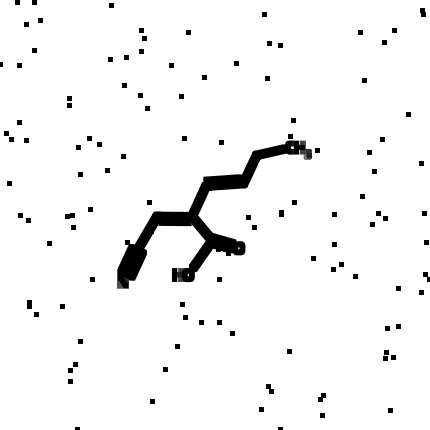 CC/C=C/C(=C/C#N)C(=O)O